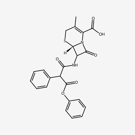 CC1=C(C(=O)O)N2C(=O)C(NC(=O)C(C(=O)Oc3ccccc3)c3ccccc3)[C@@H]2SC1